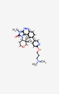 CN(C)CCCOc1ccc(-c2ccc3nnc4c(c3c2)n(C2CCOCC2(C)C)c(=O)n4C)cn1